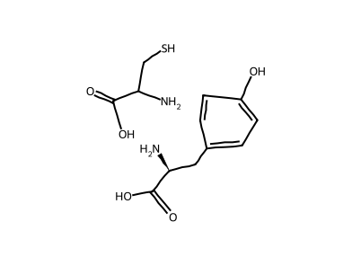 NC(CS)C(=O)O.N[C@@H](Cc1ccc(O)cc1)C(=O)O